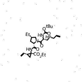 C=CCPC[C@H](NC(=O)OC(C)(C)C)C(=O)N1C[C@H](CC)C[C@H]1C(=O)N[C@]1(C(=O)OCC)C[C@H]1C=C